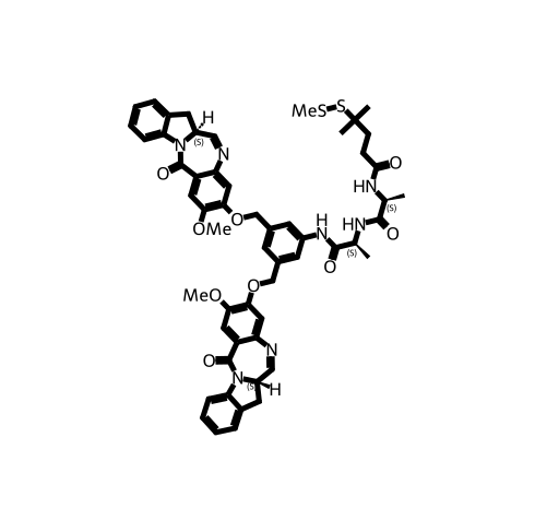 COc1cc2c(cc1OCc1cc(COc3cc4c(cc3OC)C(=O)N3c5ccccc5C[C@H]3C=N4)cc(NC(=O)[C@H](C)NC(=O)[C@H](C)NC(=O)CCC(C)(C)SSC)c1)N=C[C@@H]1Cc3ccccc3N1C2=O